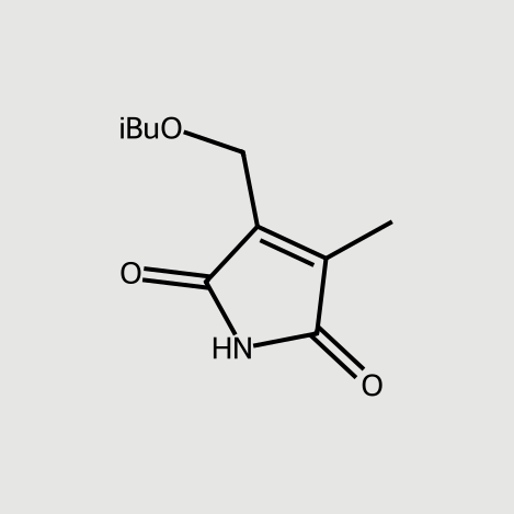 CC1=C(COCC(C)C)C(=O)NC1=O